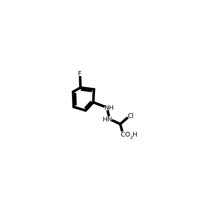 O=C(O)C(Cl)NNc1cccc(F)c1